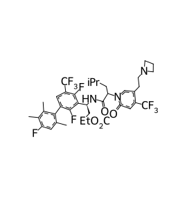 CCOC(=O)C[C@H](NC(=O)C(CC(C)C)n1cc(CCN2CCC2)c(C(F)(F)F)cc1=O)c1c(F)c(-c2c(C)cc(F)c(C)c2C)cc(C(F)(F)F)c1F